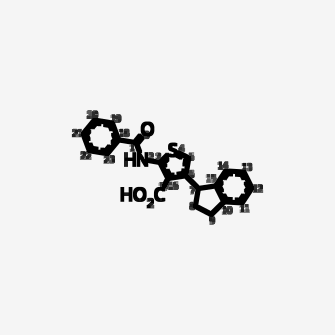 O=C(Nc1scc(C2CCc3ccccc32)c1C(=O)O)c1ccccc1